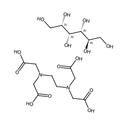 O=C(O)CN(CCN(CC(=O)O)CC(=O)O)CC(=O)O.OC[C@@H](O)[C@@H](O)[C@H](O)[C@@H](O)CO